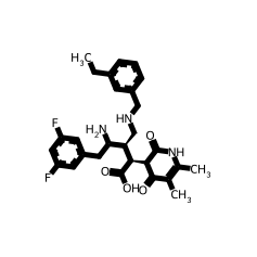 CCc1cccc(CNC[C@H](C(N)Cc2cc(F)cc(F)c2)[C@H](C(=O)O)C2C(=O)NC(C)=C(C)C2=O)c1